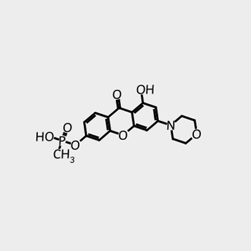 CP(=O)(O)Oc1ccc2c(=O)c3c(O)cc(N4CCOCC4)cc3oc2c1